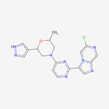 CC1CN(c2ccnc(-c3cnc4cnc(Cl)cn34)n2)CC(c2cn[nH]c2)O1